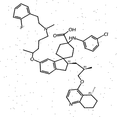 CC(CCCN(C)CCc1ccccc1F)Oc1ccc2c(c1)C1(CCC(Nc3cccc(Cl)c3)(C(=O)O)CC1)[C@@H](C[C@@H](C)COc1ccnc3c1[C@H](C)CCC3)C2